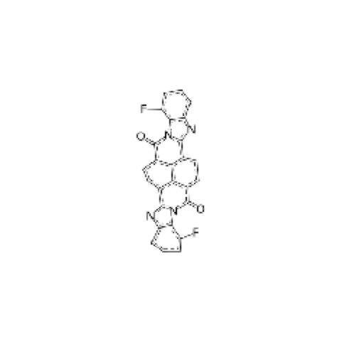 O=c1c2ccc3c4c(ccc(c24)c2nc4cccc(F)c4n12)c(=O)n1c3nc2cccc(F)c21